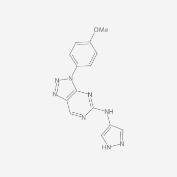 COc1ccc(-n2nnc3cnc(Nc4cn[nH]c4)nc32)cc1